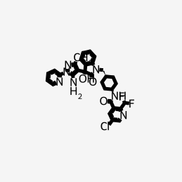 Cc1nn(-c2ccccn2)c(N)c1C1(O)C(=O)N(C[C@H]2CC[C@H](NC(=O)c3cc(Cl)cnc3C(F)F)CC2)c2ccccc21